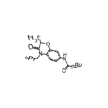 CCCCC(=O)Nc1ccc2c(c1)OC(C)C(=O)N2CCC